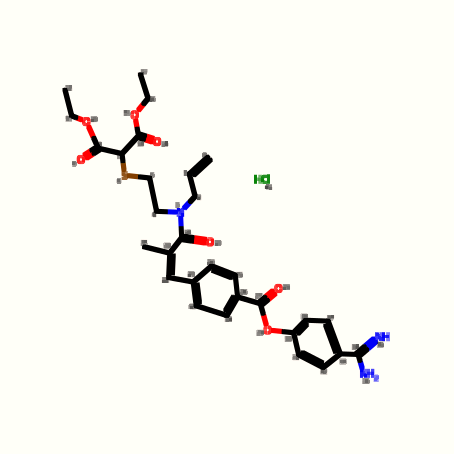 C=CCN(CCSC(C(=O)OCC)C(=O)OCC)C(=O)C(C)=Cc1ccc(C(=O)Oc2ccc(C(=N)N)cc2)cc1.Cl